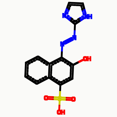 O=S(=O)(O)c1cc(O)c(N=Nc2ncc[nH]2)c2ccccc12